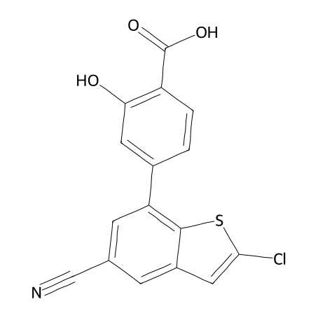 N#Cc1cc(-c2ccc(C(=O)O)c(O)c2)c2sc(Cl)cc2c1